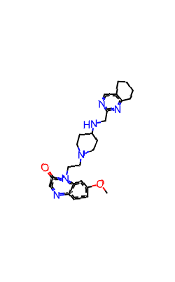 COc1ccc2ncc(=O)n(CCN3CCC(NCc4ncc5c(n4)CCCC5)CC3)c2c1